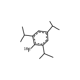 CC(C)c1cc(C(C)C)c([18F])c(C(C)C)c1